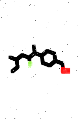 CCC(C)CC(F)C(C)C1CCC(CO)CC1